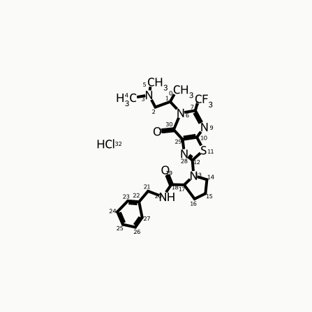 CC(CN(C)C)n1c(C(F)(F)F)nc2sc(N3CCCC3C(=O)NCc3ccccc3)nc2c1=O.Cl